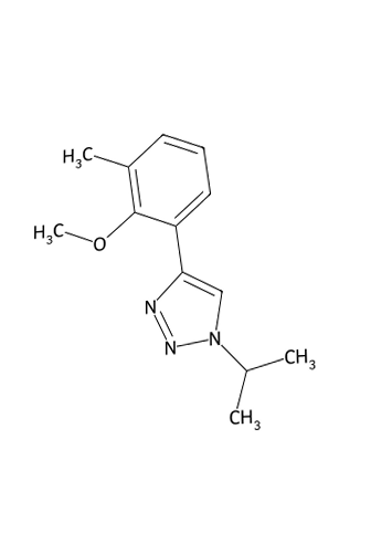 COc1c(C)cccc1-c1cn(C(C)C)nn1